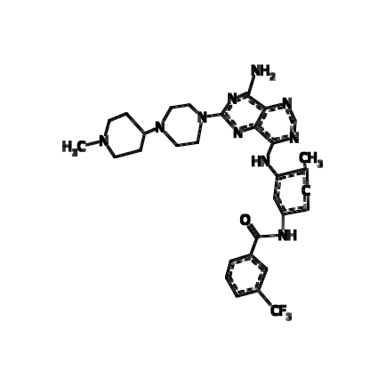 Cc1ccc(NC(=O)c2cccc(C(F)(F)F)c2)cc1Nc1ncnc2c(N)nc(N3CCN(C4CCN(C)CC4)CC3)nc12